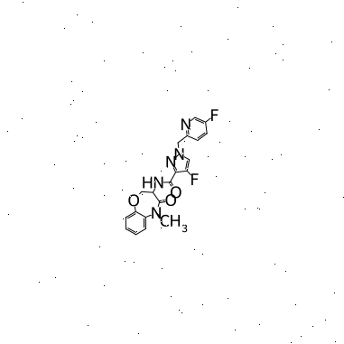 CN1C(=O)C(NC(=O)c2nn(Cc3ccc(F)cn3)cc2F)COc2ccccc21